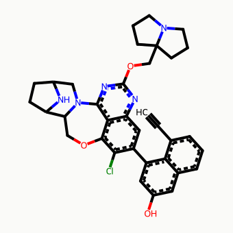 C#Cc1cccc2cc(O)cc(-c3cc4nc(OCC56CCCN5CCC6)nc5c4c(c3Cl)OCC3C4CCC(CN53)N4)c12